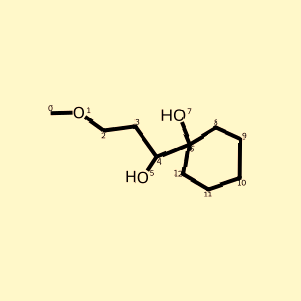 COCCC(O)C1(O)CCCCC1